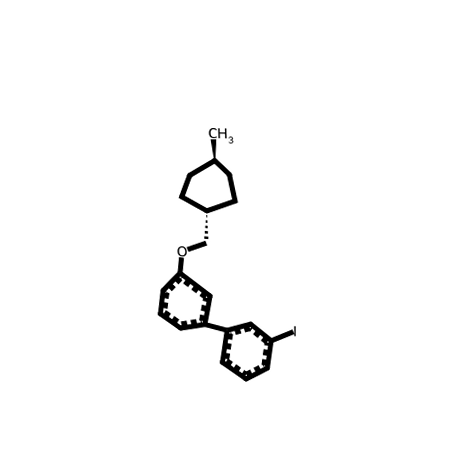 C[C@H]1CC[C@H](COc2cccc(-c3cccc(I)c3)c2)CC1